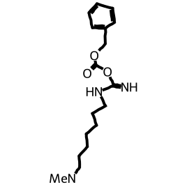 CNCCCCCCCNC(=N)OC(=O)OCc1ccccc1